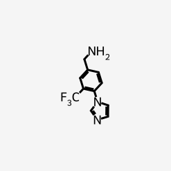 NCc1ccc(-n2ccnc2)c(C(F)(F)F)c1